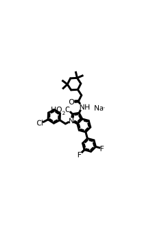 CC1(C)CC(CC(=O)Nc2c(C(=O)O)n(Cc3cccc(Cl)c3)c3cc(-c4cc(F)cc(F)c4)ccc23)CC(C)(C)C1.[Na]